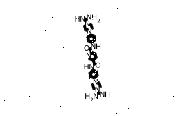 N=C(N)N1CCN(c2ccc(NC(=O)c3ccc(C(=O)Nc4ccc(N5CCN(C(=N)N)CC5)cc4)nc3)cc2)CC1